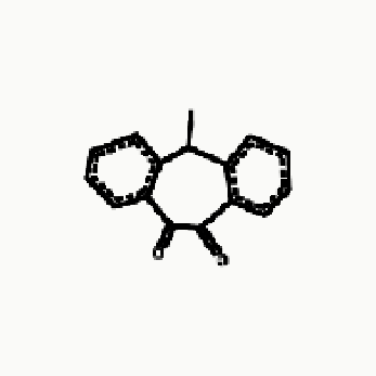 O=C1C(=O)c2ccccc2C(I)c2ccccc21